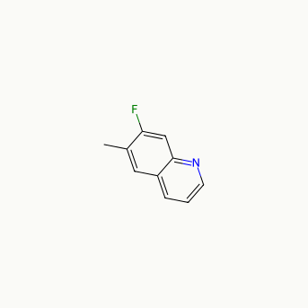 Cc1cc2cccnc2cc1F